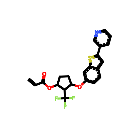 C=CC(=O)OC1CCC(Oc2ccc3cc(-c4cccnc4)sc3c2)C1C(F)(F)F